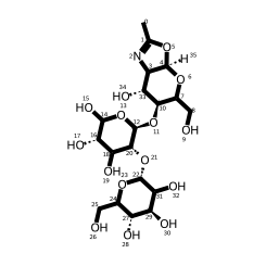 CC1=NC2[C@@H](O1)OC(CO)[C@@H](O[C@@H]1OC(O)[C@@H](O)C(O)[C@H]1O[C@H]1OC(CO)[C@@H](O)[C@H](O)C1O)[C@@H]2O